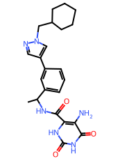 CC(NC(=O)c1[nH]c(=O)[nH]c(=O)c1N)c1cccc(-c2cnn(CC3CCCCC3)c2)c1